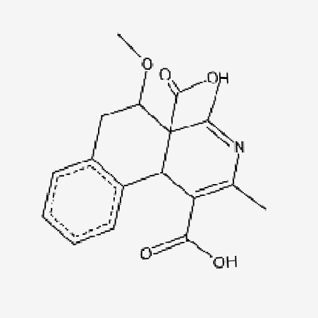 COC1Cc2ccccc2C2C(C(=O)O)=C(C)N=C(C)C12C(=O)O